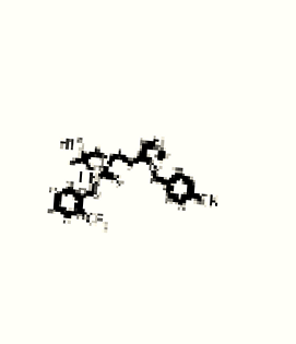 CC(C)(C)C(C)(C)CN(CCc1cncn1Cc1ccc(C#N)cc1)C(=S)NCc1ccccc1C(F)(F)F